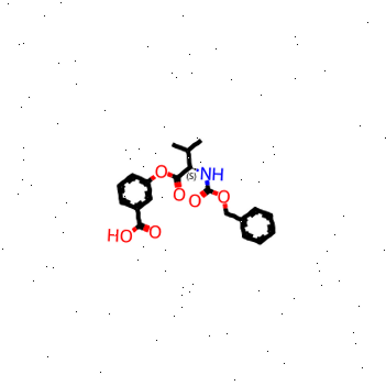 CC(C)[C@H](NC(=O)OCc1ccccc1)C(=O)Oc1cccc(C(=O)O)c1